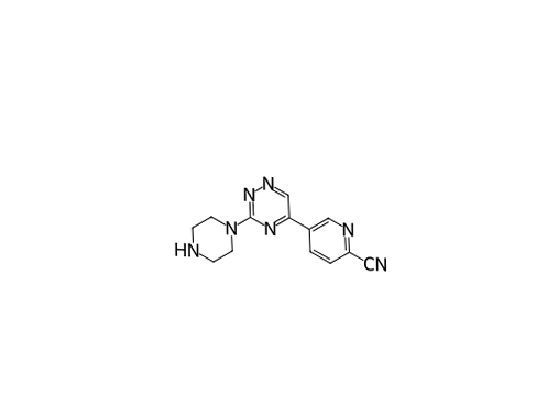 N#Cc1ccc(-c2cnnc(N3CCNCC3)n2)cn1